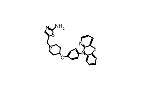 Nc1ncc(CN2CCC(Oc3ccc(N4c5ccccc5Sc5cccnc54)cc3)CC2)s1